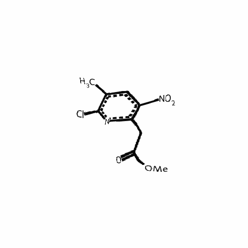 COC(=O)Cc1nc(Cl)c(C)cc1[N+](=O)[O-]